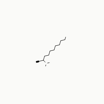 CCCCCCCCCC(C#N)N(C)C